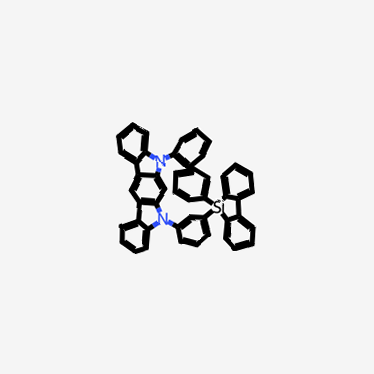 c1ccc(-n2c3ccccc3c3cc4c5ccccc5n(-c5cccc([Si]6(c7ccccc7)c7ccccc7-c7ccccc76)c5)c4cc32)cc1